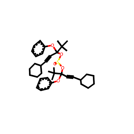 CC(C)(C)C(C#CC1CCCCC1)(Oc1ccccc1)OS(=O)OC(C#CC1CCCCC1)(Oc1ccccc1)C(C)(C)C